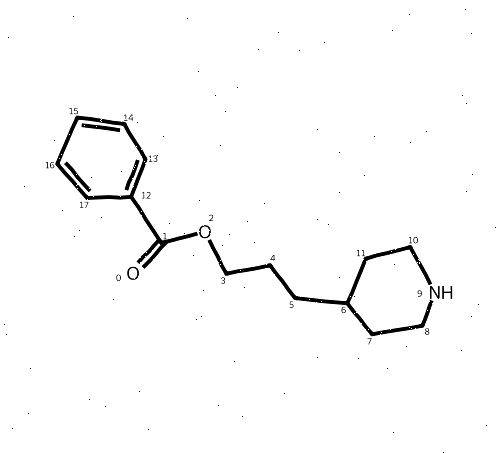 O=C(OCCCC1CCNCC1)c1ccccc1